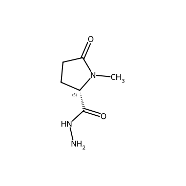 CN1C(=O)CC[C@H]1C(=O)NN